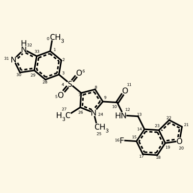 Cc1cc(S(=O)(=O)c2cc(C(=O)NCc3c(F)ccc4occc34)n(C)c2C)cc2cn[nH]c12